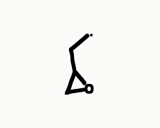 [CH2]CC1CO1